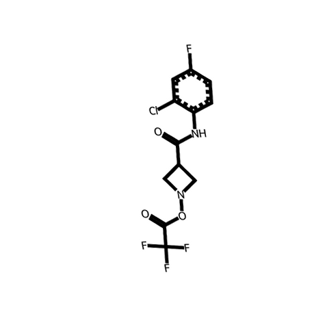 O=C(Nc1ccc(F)cc1Cl)C1CN(OC(=O)C(F)(F)F)C1